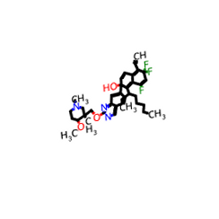 C#CC1=C2C=CC(O)(c3ccc4cnc(OCC5(C)CN(C)CCC5OC)nc4c3)C(C(CC)CCCCC)=C2C(F)=CC1(F)F